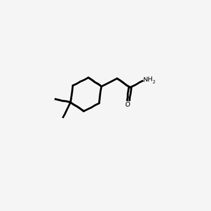 CC1(C)CCC(CC(N)=O)CC1